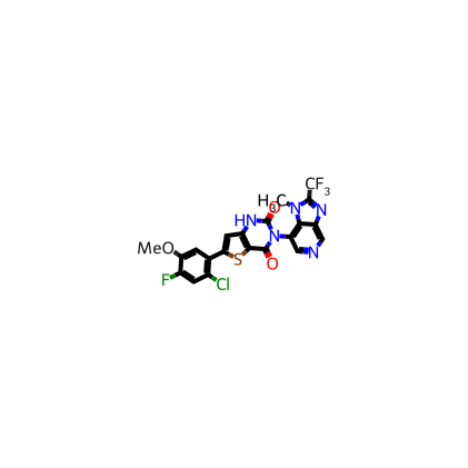 COc1cc(-c2cc3[nH]c(=O)n(-c4cncc5nc(C(F)(F)F)n(C)c45)c(=O)c3s2)c(Cl)cc1F